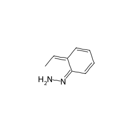 C/C=C1/C=CC=C/C1=N/N